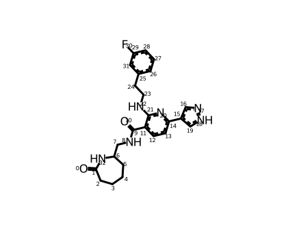 O=C1CCCCC(CNC(=O)c2ccc(-c3cn[nH]c3)nc2NCCc2cccc(F)c2)N1